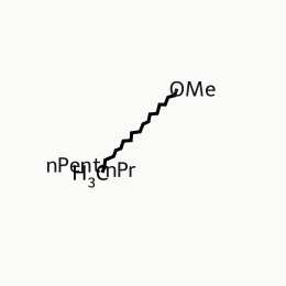 CCCCCC(C)(CCC)CCCCCCCCCCCCCCCCOC